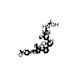 COc1nc(-c2cccc(-c3ccnc(-c4cc(OC)c5nc(CNC[C@@H](C)O)nn5c4)c3Cl)c2Cl)ccc1CNC1CCN(C(C)=O)CC1